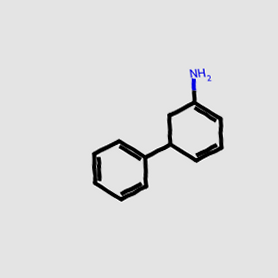 NC1=CC=CC(c2ccccc2)C1